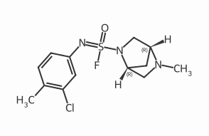 Cc1ccc(N=S(=O)(F)N2C[C@H]3C[C@@H]2CN3C)cc1Cl